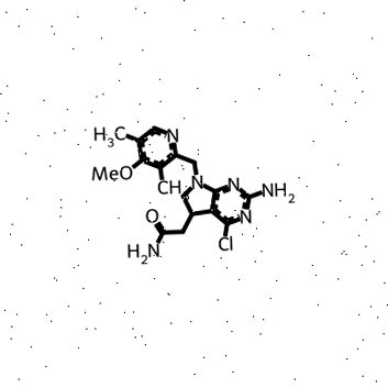 COc1c(C)cnc(CN2CC(CC(N)=O)c3c(Cl)nc(N)nc32)c1C